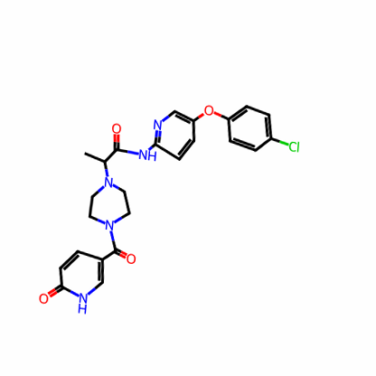 CC(C(=O)Nc1ccc(Oc2ccc(Cl)cc2)cn1)N1CCN(C(=O)c2ccc(=O)[nH]c2)CC1